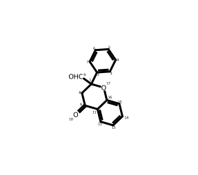 O=CC1(c2ccccc2)CC(=O)c2ccccc2O1